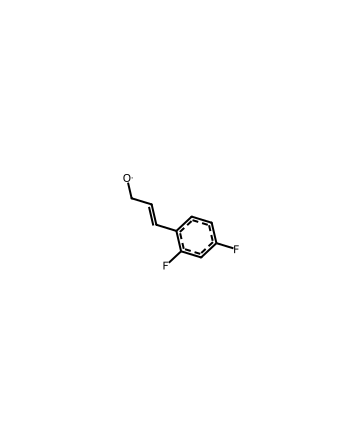 [O]CC=Cc1ccc(F)cc1F